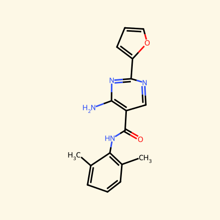 Cc1cccc(C)c1NC(=O)c1cnc(-c2ccco2)nc1N